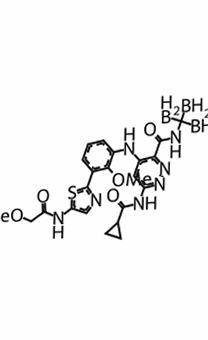 BC(B)(B)NC(=O)c1nnc(NC(=O)C2CC2)cc1Nc1cccc(-c2ncc(NC(=O)COC)s2)c1OC